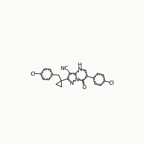 N#Cc1c(C2(Cc3ccc(Cl)cc3)CC2)nn2c(=O)c(-c3ccc(Cl)cc3)c[nH]c12